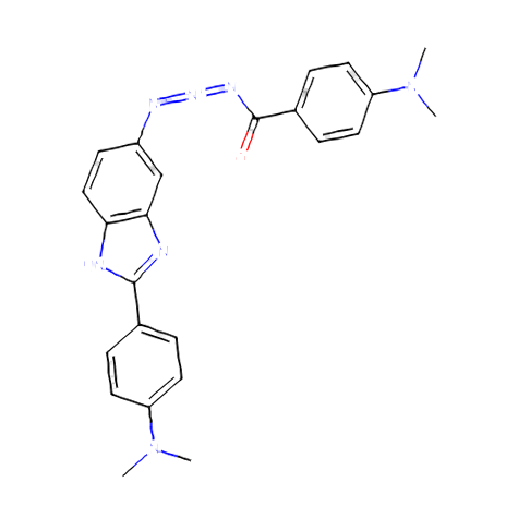 CN(C)c1ccc(C(=O)N=[N+]=Nc2ccc3[nH]c(-c4ccc(N(C)C)cc4)nc3c2)cc1